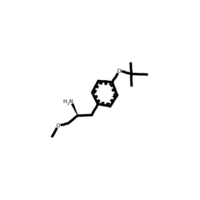 COC[C@@H](N)Cc1ccc(OC(C)(C)C)cc1